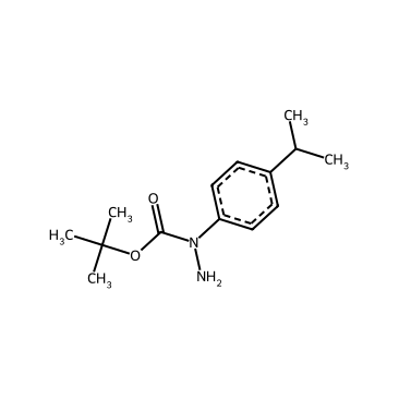 CC(C)c1ccc(N(N)C(=O)OC(C)(C)C)cc1